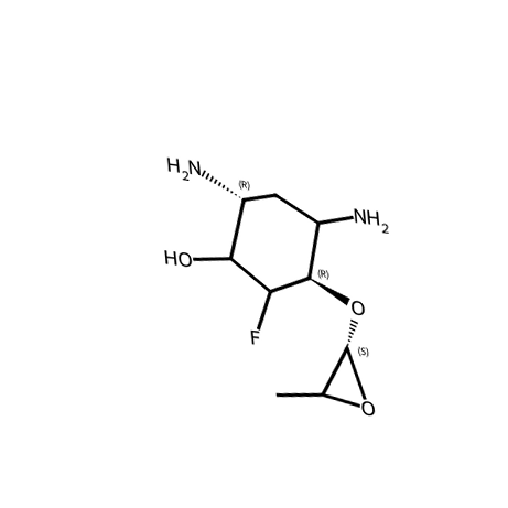 CC1O[C@H]1O[C@@H]1C(N)C[C@@H](N)C(O)C1F